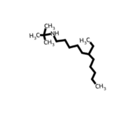 CCCCCC(CC)CCCCCNC(C)(C)C